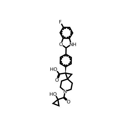 O=C(N1CCC2(CC1)C[C@]2(C(=O)O)c1ccc(C2Nc3ccc(F)cc3O2)cc1)C1(O)CC1